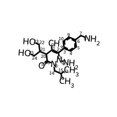 CC1=C(c2ccc(CN)cc2)N(N)N(CC(C)C)C(=O)C1C(CO)CO